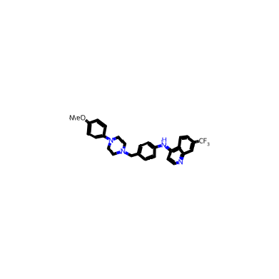 COc1ccc(N2CCN(Cc3ccc(Nc4ccnc5cc(C(F)(F)F)ccc45)cc3)CC2)cc1